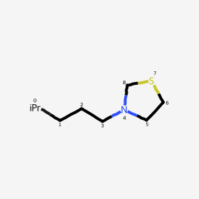 CC(C)CCCN1CCSC1